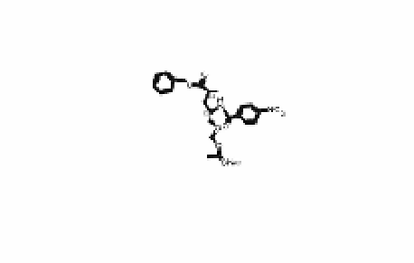 COC(C)OCOC[C@H](C[C@H](C)C(=O)OCc1ccccc1)NC(=O)c1ccc([N+](=O)[O-])cc1